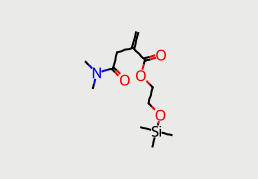 C=C(CC(=O)N(C)C)C(=O)OCCO[Si](C)(C)C